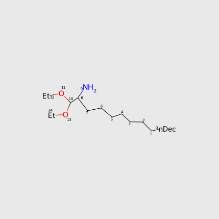 CCCCCCCCCCCCCCCCCC(N)C(OCC)OCC